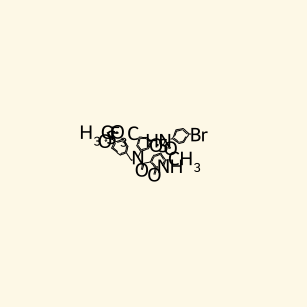 Cc1[nH]c(=O)c(C(=O)N(Cc2ccc(S(C)(=O)=O)cc2)c2cccc(C(F)(F)F)c2)cc1S(=O)(=O)Nc1ccc(Br)cc1